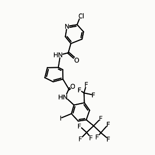 O=C(Nc1cccc(C(=O)Nc2c(I)cc(C(F)(C(F)(F)F)C(F)(F)F)cc2C(F)(F)F)c1)c1ccc(Cl)nc1